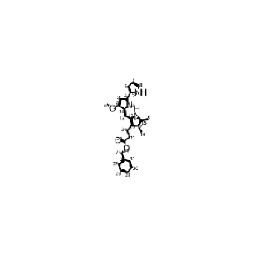 COC1=CC(c2ccc[nH]2)=N/C1=C\c1[nH]c(C)c(C)c1CCC(=O)OCc1ccccc1